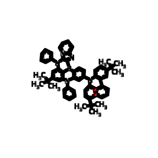 CC(C)(C)c1ccc(N(c2ccc3c(c2)N(c2ccccc2)c2cc(C(C)(C)C)cc4c2B3c2nc3ccccn3c2N4c2ccccc2)c2ccc(C(C)(C)C)cc2-c2ccccc2)cc1